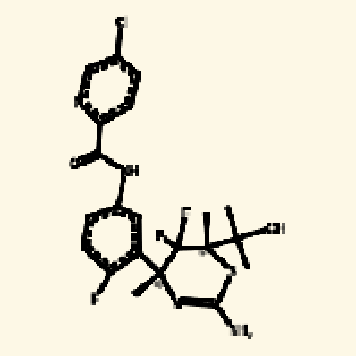 CC(C)(O)[C@]1(C)SC(N)=N[C@](C)(c2cc(NC(=O)c3ccc(Cl)cn3)ccc2F)C1(F)F